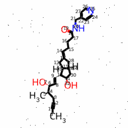 CC#CC[C@@H](C)[C@H](O)/C=C/[C@@H]1[C@H]2C/C(=C/CCCC(=O)NCc3ccncc3)C[C@H]2C[C@H]1O